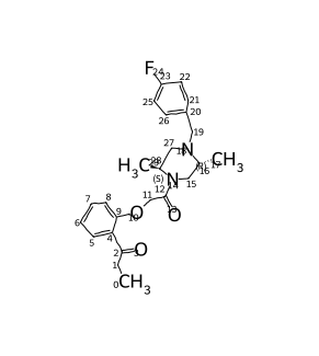 CCC(=O)c1ccccc1OCC(=O)N1C[C@@H](C)N(Cc2ccc(F)cc2)C[C@@H]1C